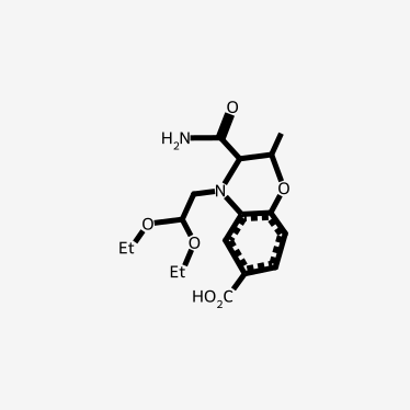 CCOC(CN1c2cc(C(=O)O)ccc2OC(C)C1C(N)=O)OCC